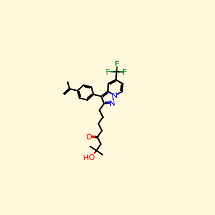 C=C(C)c1ccc(-c2c(CCCCC(=O)CC(C)(C)O)nn3ccc(C(F)(F)F)cc23)cc1